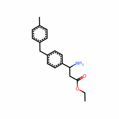 CCOC(=O)CC(N)c1ccc(Cc2ccc(C)cc2)cc1